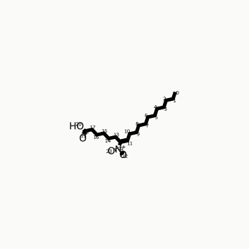 CCCCCCCCCCC/C=C(\CCCCCC(=O)O)[N+](=O)[O-]